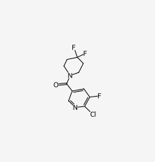 O=C(c1cnc(Cl)c(F)c1)N1CCC(F)(F)CC1